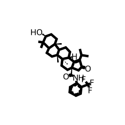 CC(C)C1=C2[C@H]3CCC4[C@@]5(C)CC[C@H](O)C(C)(C)C5CC[C@@]4(C)[C@]3(C)CC[C@@]2(C(=O)Nc2ccccc2C(F)(F)F)CC1=O